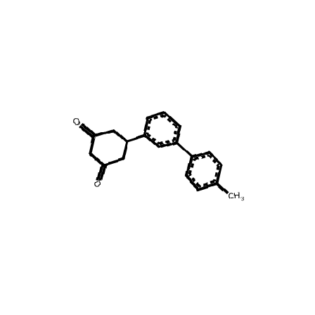 Cc1ccc(-c2cccc(C3CC(=O)CC(=O)C3)c2)cc1